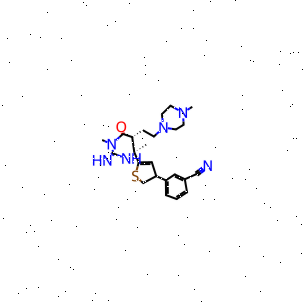 CN1CCN(CC[C@H]2C(=O)N(C)C(=N)N[C@]2(C)C2=CC(c3cccc(C#N)c3)CS2)CC1